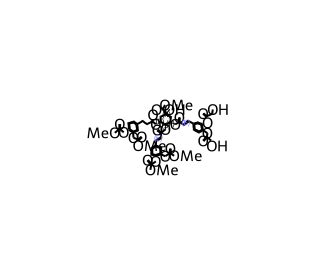 COC(=O)Oc1ccc(/C=C/C(=O)O[C@@H]2[C@H](OC(=O)/C=C/c3ccc(OC(=O)CO)c(OC(=O)CO)c3)C[C@@](O)(C(=O)OC)C[C@H]2OC(=O)CCc2ccc(OC(=O)OC)c(OC(=O)OC)c2)cc1OC(=O)OC